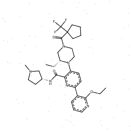 CCOc1ncccc1-c1ccc(N2CCN(C(=O)C3(C(F)(F)F)CCCC3)C[C@H]2CC)c(C(=O)N[C@@H]2CCN(C)C2)n1